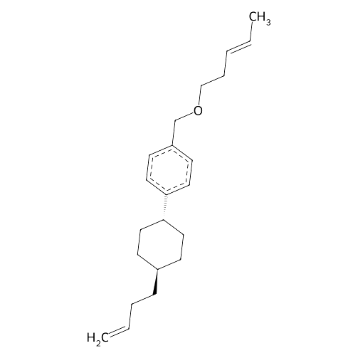 C=CCC[C@H]1CC[C@H](c2ccc(COCC/C=C/C)cc2)CC1